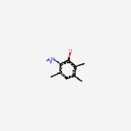 Cc1cc(C)c(N)c(O)c1C